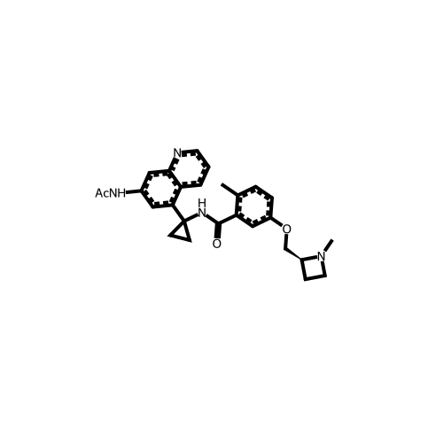 CC(=O)Nc1cc(C2(NC(=O)c3cc(OC[C@@H]4CCN4C)ccc3C)CC2)c2cccnc2c1